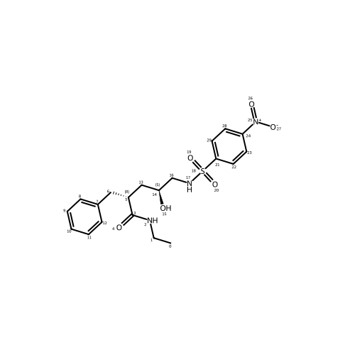 CCNC(=O)[C@H](Cc1ccccc1)C[C@H](O)CNS(=O)(=O)c1ccc([N+](=O)[O-])cc1